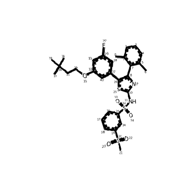 Cc1cccc(C)c1-c1nc(NS(=O)(=O)c2cccc(S(C)(=O)=O)c2)sc1-c1cc(F)cc(OCCC(C)(C)C)c1